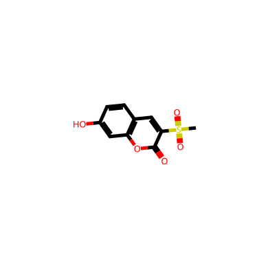 CS(=O)(=O)c1cc2ccc(O)cc2oc1=O